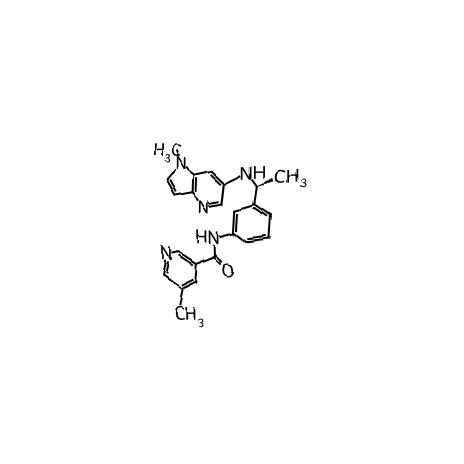 Cc1cncc(C(=O)Nc2cccc([C@H](C)Nc3cnc4ccn(C)c4c3)c2)c1